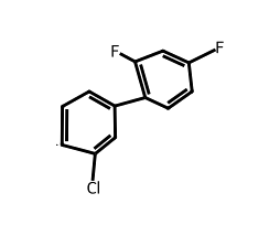 Fc1ccc(-c2cc[c]c(Cl)c2)c(F)c1